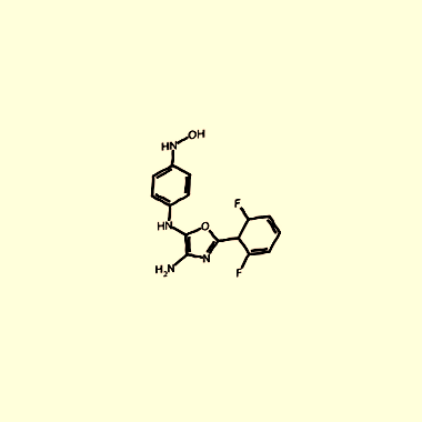 Nc1nc(C2C(F)=CC=CC2F)oc1Nc1ccc(NO)cc1